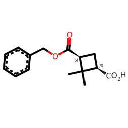 CC1(C)[C@@H](C(=O)OCc2ccccc2)C[C@H]1C(=O)O